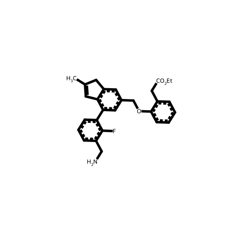 CCOC(=O)Cc1ccccc1OCc1cc2c(c(-c3cccc(CN)c3F)c1)C=C(C)C2